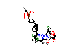 CC(C)C(NC(c1ccc(-c2ccc(S(C)(=O)=O)cc2)cc1)C(F)(F)F)C(=O)N1C[C@@H](Cl)[C@H]2OCC(=O)[C@H]21